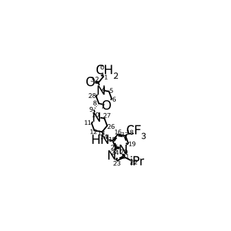 C=CC(=O)N1CCO[C@H](CN2CCC(Nc3cc(C(F)(F)F)cn4c(C(C)C)cnc34)CC2)C1